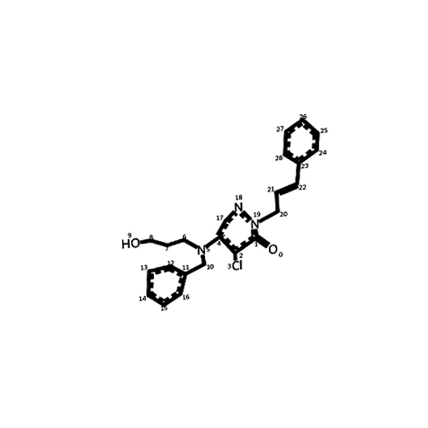 O=c1c(Cl)c(N(CCCO)Cc2ccccc2)cnn1C/C=C/c1ccccc1